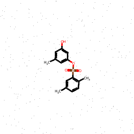 Cc1cc(O)cc(OS(=O)(=O)c2cc(C)ccc2C)c1